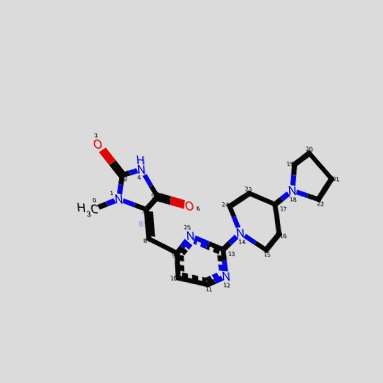 CN1C(=O)NC(=O)/C1=C\c1ccnc(N2CCC(N3CCCC3)CC2)n1